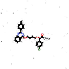 COC(=O)C(OCCCCOc1nc(-c2ccc(C)cc2)nc2ccccc12)c1ccc(Cl)cc1